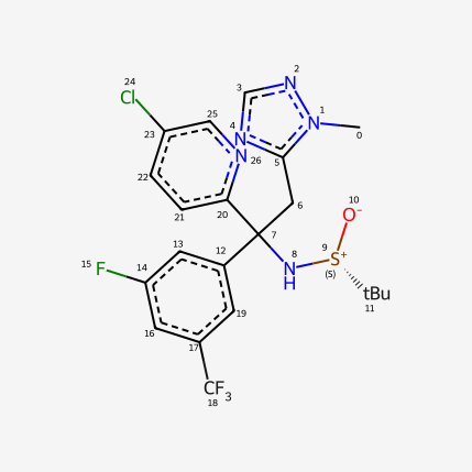 Cn1ncnc1CC(N[S@+]([O-])C(C)(C)C)(c1cc(F)cc(C(F)(F)F)c1)c1ccc(Cl)cn1